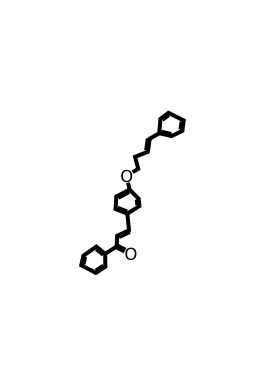 O=C(C=Cc1ccc(OCCC=Cc2ccccc2)cc1)c1ccccc1